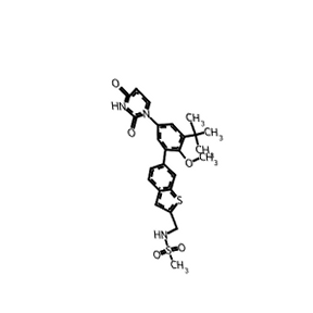 COc1c(-c2ccc3cc(CNS(C)(=O)=O)sc3c2)cc(-n2ccc(=O)[nH]c2=O)cc1C(C)(C)C